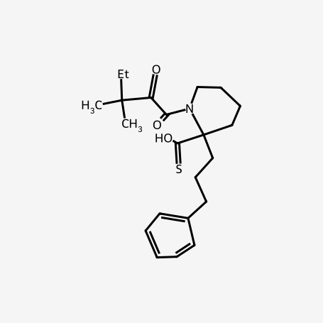 CCC(C)(C)C(=O)C(=O)N1CCCCC1(CCCc1ccccc1)C(O)=S